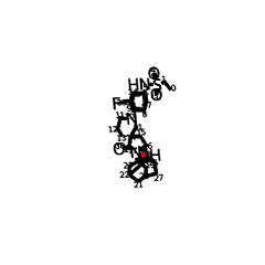 CCS(=O)(=O)Nc1ccc(N2CCC[C@@]3(CCN(C45CC6CC(C4)C(O)C(C6)C5)C3=O)C2)c(F)c1